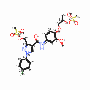 COc1cc(NC(=O)c2cn(-c3ccc(Cl)cc3)nc2COS(C)(=O)=O)ccc1OCC(C)OS(C)(=O)=O